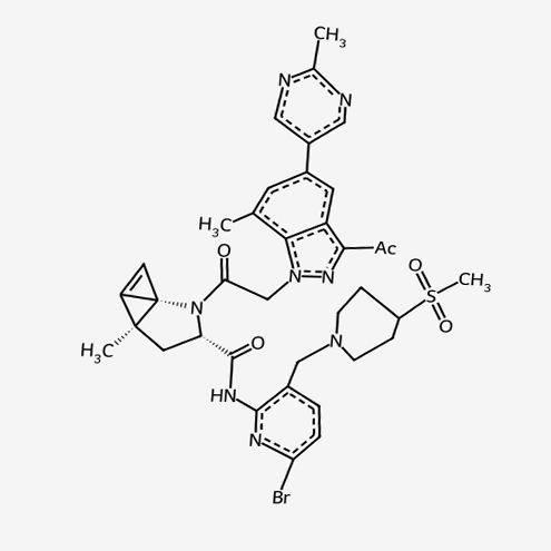 CC(=O)c1nn(CC(=O)N2[C@H](C(=O)Nc3nc(Br)ccc3CN3CCC(S(C)(=O)=O)CC3)C[C@@]3(C)C4=C[C@@]423)c2c(C)cc(-c3cnc(C)nc3)cc12